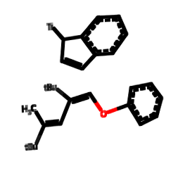 CC(=CC(=COc1ccccc1)C(C)(C)C)C(C)(C)C.[Ti][CH]1C=Cc2ccccc21